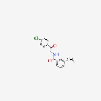 Cc1cccc(C(=O)NCC(=O)c2ccc(Cl)cc2)c1